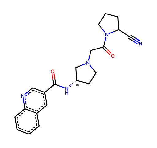 N#CC1CCCN1C(=O)CN1CC[C@H](NC(=O)c2cnc3ccccc3c2)C1